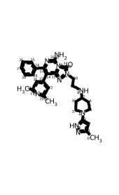 Cc1cc(N2CCC(NCCn3nc4c(-c5cc(C)nc(C)c5)c(-c5ccccc5)nc(N)n4c3=O)CC2)[nH]n1